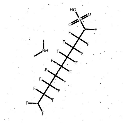 CNC.O=S(=O)(O)C(F)C(F)(F)C(F)(F)C(F)(F)C(F)(F)C(F)(F)C(F)(F)C(F)(F)C(F)F